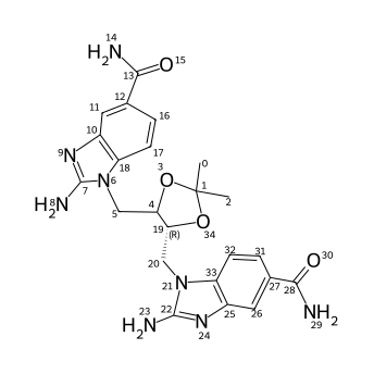 CC1(C)OC(Cn2c(N)nc3cc(C(N)=O)ccc32)[C@@H](Cn2c(N)nc3cc(C(N)=O)ccc32)O1